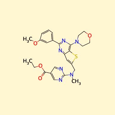 CCOC(=O)c1cnc(N(C)Cc2cc3nc(-c4cccc(OC)c4)nc(N4CCOCC4)c3s2)nc1